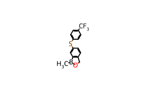 CB1OCc2ccc(Sc3ccc(C(F)(F)F)cc3)cc21